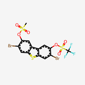 CS(=O)(=O)Oc1cc2c(cc1Br)sc1cc(Br)c(OS(=O)(=O)C(F)(F)F)cc12